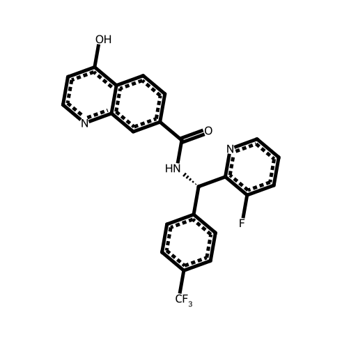 O=C(N[C@@H](c1ccc(C(F)(F)F)cc1)c1ncccc1F)c1ccc2c(O)ccnc2c1